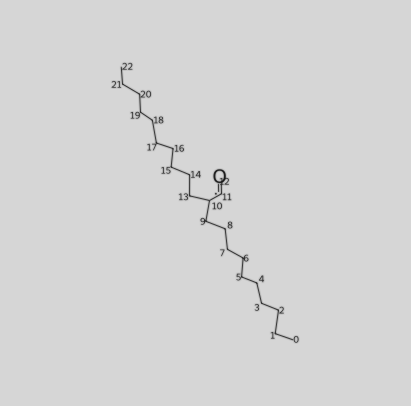 CCCCCCCCCCC([C]=O)CCCCCCCCCC